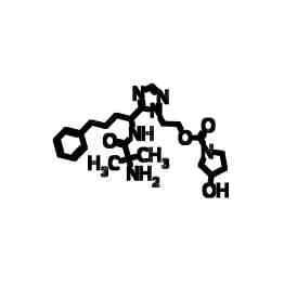 CC(C)(N)C(=O)NC(CCCc1ccccc1)c1ncnn1CCOC(=O)N1CCC(O)C1